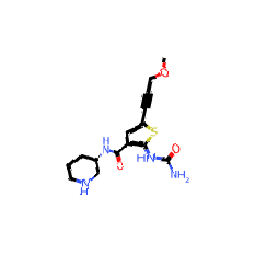 COCC#Cc1cc(C(=O)N[C@H]2CCCNC2)c(NC(N)=O)s1